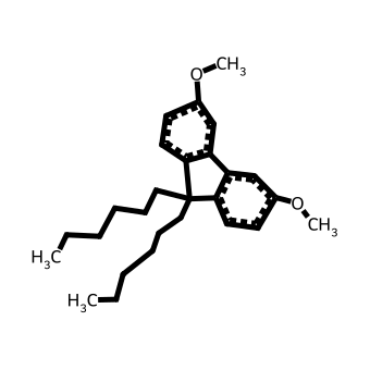 CCCCCCC1(CCCCCC)c2ccc(OC)cc2-c2cc(OC)ccc21